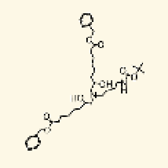 CC(C)(C)OC(=O)NCCCCN(CC(O)CCCCCC(=O)OCc1ccccc1)CC(O)CCCCCC(=O)OCc1ccccc1